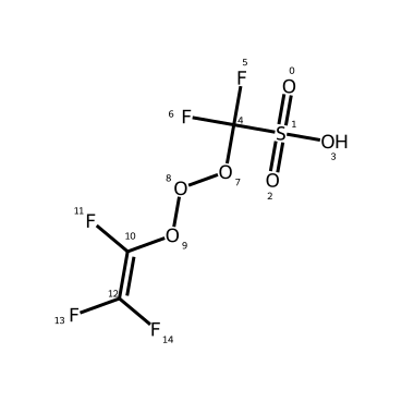 O=S(=O)(O)C(F)(F)OOOC(F)=C(F)F